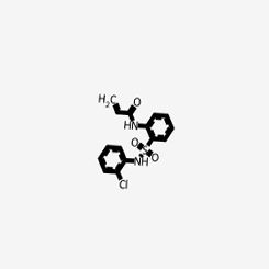 C=CC(=O)Nc1ccccc1S(=O)(=O)Nc1ccccc1Cl